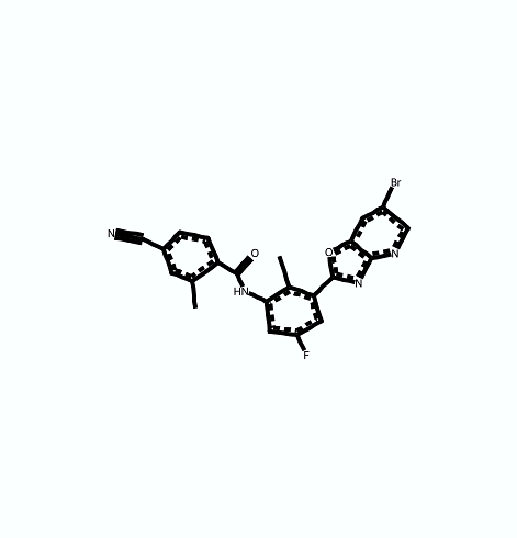 Cc1cc(C#N)ccc1C(=O)Nc1cc(F)cc(-c2nc3ncc(Br)cc3o2)c1C